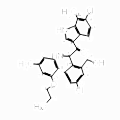 Cc1cc(NC(C(=O)c2c[nH]c3c(C)c(Cl)ccc23)c2ccc(Cl)cc2CO)cc(OCCO)c1